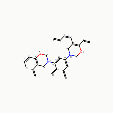 C=C/C=C\C1=C(C=C)OCN(C(/C=C(\C=C)N2COC(/C=C\C)=C(C=C)C2)=C/C=C)C1